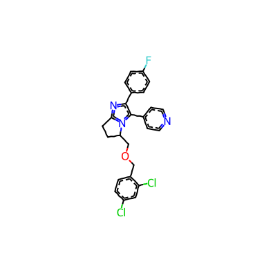 Fc1ccc(-c2nc3n(c2-c2ccncc2)C(COCc2ccc(Cl)cc2Cl)CC3)cc1